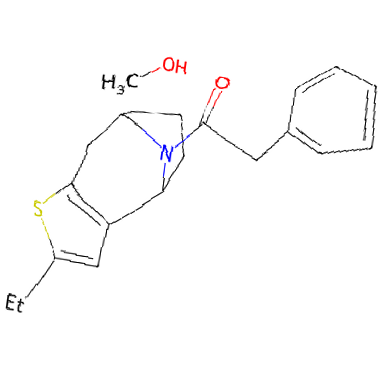 CCc1cc2c(s1)CC1CCC2N1C(=O)Cc1ccccc1.CO